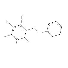 [CH2]c1c(F)c(F)c(COc2ccccc2)c(F)c1F